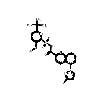 COc1ccc(C(C)(C)C)nc1S(=O)(=O)NC(=O)c1ccc2c(-n3ccc(F)n3)cccc2n1